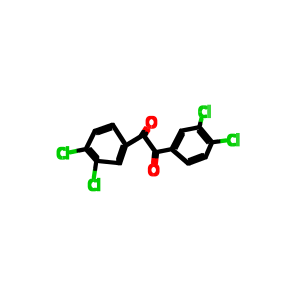 O=C(C(=O)c1ccc(Cl)c(Cl)c1)c1ccc(Cl)c(Cl)c1